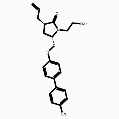 C=CC[C@@H]1C[C@@H](COc2ccc(-c3ccc(C#N)cc3)cc2)N(CCOC(C)=O)C1=O